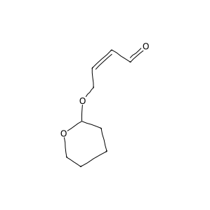 O=C/C=C\COC1CCCCO1